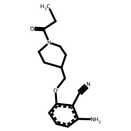 CCC(=O)N1CCC(COc2cccc(N)c2C#N)CC1